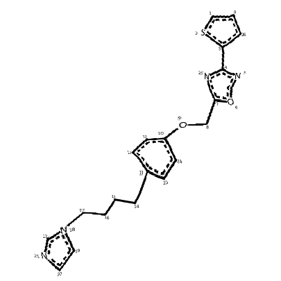 c1csc(-c2noc(COc3ccc(CCCCn4ccnc4)cc3)n2)c1